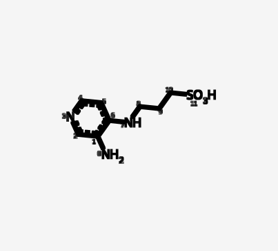 Nc1cnccc1NCCCS(=O)(=O)O